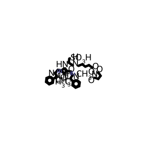 CN1/C(=C/C2=C(NC(CS(=O)(=O)O)C(=O)NCCCCC(=O)ON3C(=O)CCC3=O)C(=C/C3=Nc4ccccc4C3(C)C)/C2=O)C(C)(C)c2ccccc21